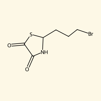 O=C1NC(CCCBr)SC1=O